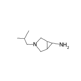 CC(C)CN1CC2C(N)C2C1